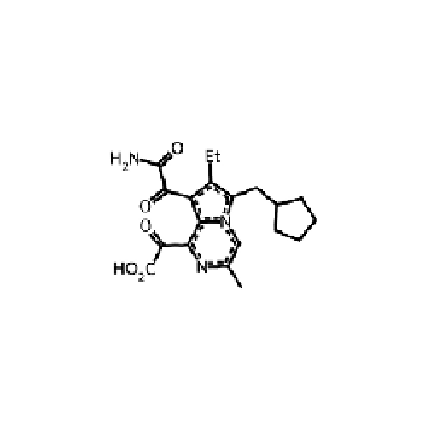 CCc1c(C(=O)C(N)=O)c2c(C(=O)C(=O)O)nc(C)cn2c1CC1CCCC1